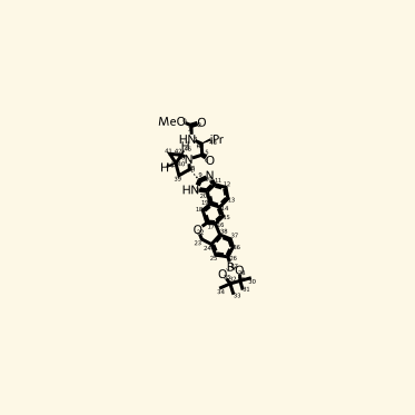 COC(=O)N[C@H](C(=O)N1[C@H](c2nc3ccc4cc5c(cc4c3[nH]2)OCc2cc(B3OC(C)(C)C(C)(C)O3)ccc2-5)C[C@@H]2C[C@@H]21)C(C)C